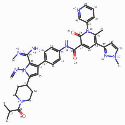 C=Nn1c(C2CCN(C(=O)C(C)C)CC2)cc(-c2ccc(NC(=O)c3cc(-c4ccn(C)n4)c(C)n(-c4cccnc4)c3=O)cc2)c1/C(N)=N\C